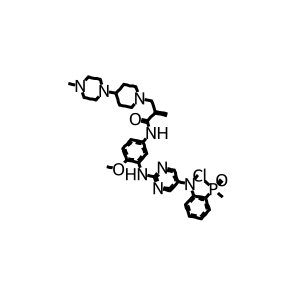 C=C(CN1CCC(N2CCN(C)CC2)CC1)C(=O)Nc1ccc(OC)c(Nc2ncc(N(Cl)c3ccccc3P(C)(C)=O)cn2)c1